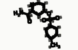 Cc1ccc(S(=O)(=O)Oc2ccnc(C(N)=O)c2)cc1